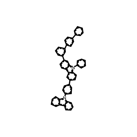 c1ccc(-c2ccc(-c3cccc(-c4ccc5c6cc(-c7ccc(-n8c9ccccc9c9ccccc98)cc7)ccc6n(-c6ccccc6)c5c4)c3)cc2)cc1